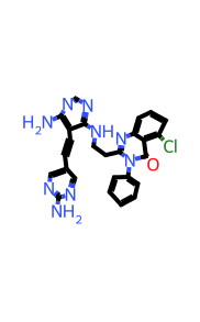 Nc1ncc(C#Cc2c(N)ncnc2NCCc2nc3cccc(Cl)c3c(=O)n2-c2ccccc2)cn1